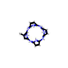 [Ti][c]1cc2nc3nc(nc4ccc(nc5nc(nc1[nH]2)C=C5)[nH]4)C=C3